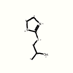 CC(O)CSC1=NCCS1